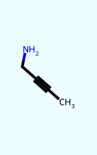 CC#CCN